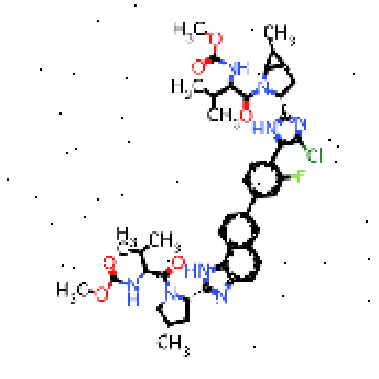 COC(=O)NC(C(=O)N1C2C(C)C2C[C@H]1c1nc(Cl)c(-c2ccc(-c3ccc4c(ccc5nc([C@@H]6C[C@H](C)CN6C(=O)[C@@H](NC(=O)OC)C(C)C)[nH]c54)c3)cc2F)[nH]1)C(C)C